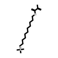 C=C(C)C(=C)OCCCCCCCCCCC[PH](C)(C)C